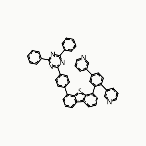 c1ccc(-c2nc(-c3ccccc3)nc(-c3ccc(-c4cccc5c4sc4c(-c6cc(-c7cccnc7)ccc6-c6cccnc6)cccc45)cc3)n2)cc1